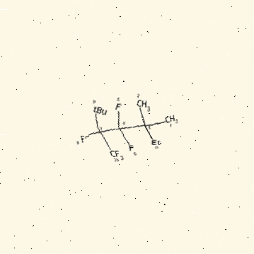 CCC(C)(C)C(F)(F)C(F)(C(C)(C)C)C(F)(F)F